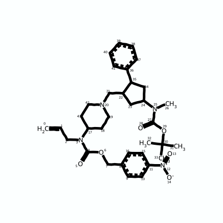 C=CCN(C(=O)OCc1ccc([N+](=O)[O-])cc1)C1CCN(CC2CC(N(C)C(=O)OC(C)(C)C)CC2c2ccccc2)CC1